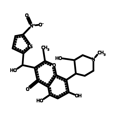 Cc1oc2c(C3CCN(C)CC3O)c(O)cc(O)c2c(=O)c1C(O)c1ccc([N+](=O)[O-])s1